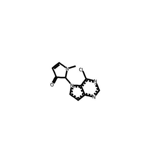 CN1C=CC(=O)C1n1ccc2ncnc(Cl)c21